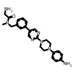 CN(Cc1cccc(-c2cnc(N3CCN(c4ccc(N)cc4)CC3)nc2)c1)C(=O)CN